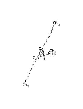 CCCCCCCCC=CCCCCCCCC(=O)OCC(COC(=O)CCCCCCCC=CCCCCCCCC)OC(=O)NCCN(C)CC